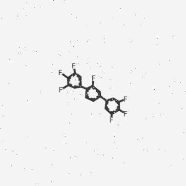 Fc1cc(-c2cc(F)c(F)c(F)c2)ccc1-c1cc(F)c(F)c(F)c1